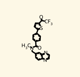 CN(Cc1ccc2nccnc2c1)C(=O)c1ccc(-c2ccc(C(=O)C(F)(F)F)s2)cc1